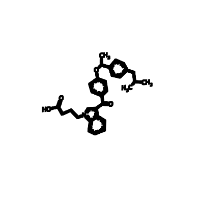 CC(C)Cc1ccc(C(C)Oc2ccc(C(=O)c3cn(CCCC(=O)O)c4ccccc34)cc2)cc1